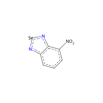 O=[N+]([O-])c1cccc2n[se]nc12